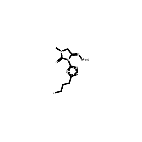 CCCCCN=C1CN(C)C(=O)N1c1nnc(CCCCl)s1